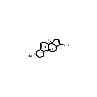 CC(=O)OC1=CC[C@H]2[C@@H]3CC=C4C[C@@H](O)CC[C@]4(C)[C@H]3CC[C@]12C